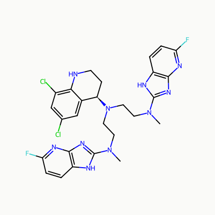 CN(CCN(CCN(C)c1nc2nc(F)ccc2[nH]1)[C@@H]1CCNc2c(Cl)cc(Cl)cc21)c1nc2nc(F)ccc2[nH]1